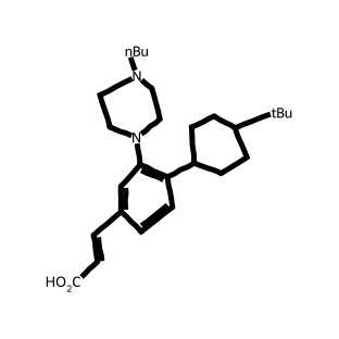 CCCCN1CCN(c2cc(/C=C/C(=O)O)ccc2C2CCC(C(C)(C)C)CC2)CC1